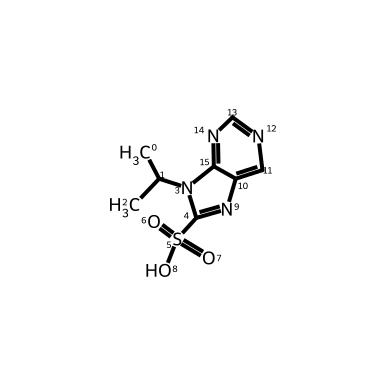 CC(C)n1c(S(=O)(=O)O)nc2cncnc21